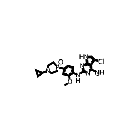 CNc1nc(Nc2ccc(P3(=O)CCN(C4CC4)CC3)cc2OC)nc2[nH]cc(Cl)c12